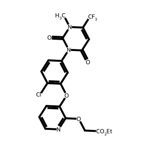 CCOC(=O)COc1ncccc1Oc1cc(-n2c(=O)cc(C(F)(F)F)n(C)c2=O)ccc1Cl